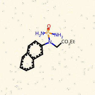 CCOC(=O)CN(c1ccc2ccccc2c1)P(N)(N)=O